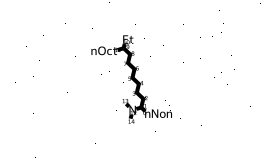 CCCCCCCCCC(CCCCCCCC(CC)CCCCCCCC)N(C)C